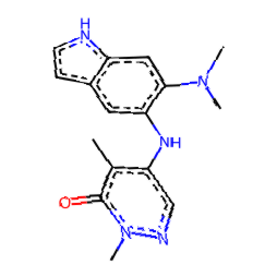 Cc1c(Nc2cc3cc[nH]c3cc2N(C)C)cnn(C)c1=O